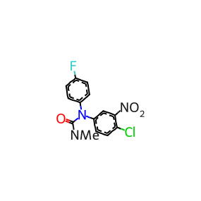 CNC(=O)N(c1ccc(F)cc1)c1ccc(Cl)c([N+](=O)[O-])c1